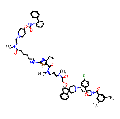 Cc1nc(NCCCCCC(=O)N(C)CCN2CCC(OC(=O)Nc3ccccc3-c3ccccc3)CC2)sc1C(=O)N(C)CCCN(C)C(=O)CO[C@H]1Cc2ccccc2C12CCN(CC[C@@]1(c3ccc(F)cc3)CN(C(=O)c3cc(C(F)(F)F)cc(C(F)(F)F)c3)CO1)CC2